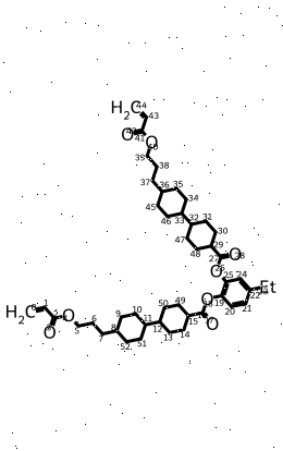 C=CC(=O)OCCCC1CCC(C2CCC(C(=O)Oc3ccc(CC)cc3OC(=O)C3CCC(C4CCC(CCCOC(=O)C=C)CC4)CC3)CC2)CC1